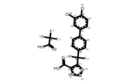 O=C(O)C(F)(F)F.O=C(O)c1[nH]nnc1C(F)(F)c1ccc(-c2ccc(Cl)c(Cl)c2)cc1